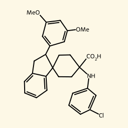 COc1cc(OC)cc(C2Cc3ccccc3C23CCC(Nc2cccc(Cl)c2)(C(=O)O)CC3)c1